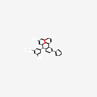 CC(C)(C)c1cc(Br)cc(C(c2cccc(Br)c2)c2ccc(-c3ccccc3)cc2-c2ccccc2)c1